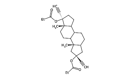 C#C[C@]1(OC(=O)CC)CC2CCC3C(CC[C@@]4(C)C3CC[C@]4(C#C)OC(=O)CC)[C@@]2(C)C1